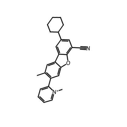 Cc1cc2c(cc1-c1cccc[n+]1C)oc1c(C#N)cc(C3CCCCC3)cc12